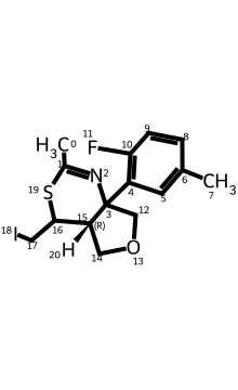 CC1=NC2(c3cc(C)ccc3F)COC[C@@H]2C(CI)S1